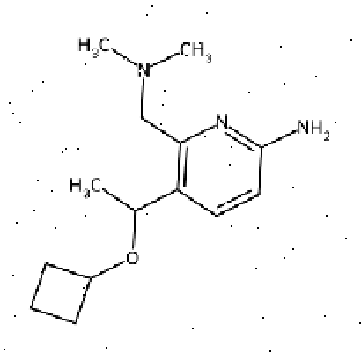 CC(OC1CCC1)c1ccc(N)nc1CN(C)C